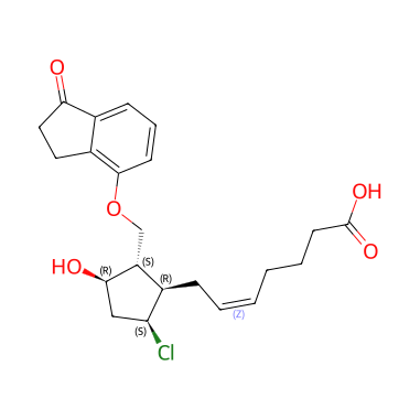 O=C(O)CCC/C=C\C[C@@H]1[C@@H](COc2cccc3c2CCC3=O)[C@H](O)C[C@@H]1Cl